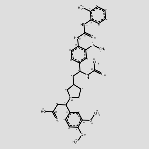 COc1cc(C(CC2CCN(C(CC(=O)O)c3ccc(OC)c(OC)c3)C2)NC(C)=O)ccc1NC(=O)Nc1ccccc1C